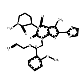 C=CCO[C@@H](Cn1c(=O)n(C2CCCN(C)C2=O)c(=O)c2c(C)c(-c3ncco3)sc21)c1ccccc1OC